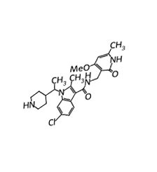 COc1cc(C)[nH]c(=O)c1CNC(=O)c1c(C)n(C(C)C2CCNCC2)c2cc(Cl)ccc12